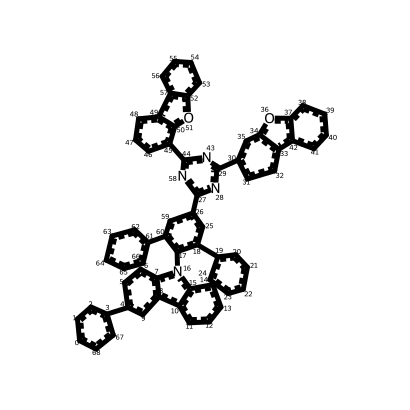 c1ccc(-c2ccc3c(c2)c2ccccc2n3-c2c(-c3ccccc3)cc(-c3nc(-c4ccc5c(c4)oc4ccccc45)nc(-c4cccc5c4oc4ccccc45)n3)cc2-c2ccccc2)cc1